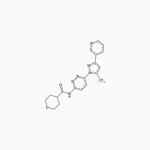 O=C(Nc1ccc(-n2nc(-c3cccnc3)cc2C(F)(F)F)nn1)C1CCOCC1